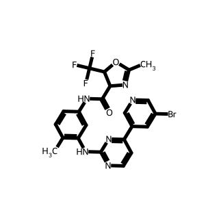 CC1=NC(C(=O)Nc2ccc(C)c(Nc3nccc(-c4cncc(Br)c4)n3)c2)C(C(F)(F)F)O1